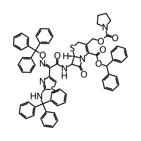 O=C(OC(c1ccccc1)c1ccccc1)C1=C(COC(=O)N2CCCC2)CS[C@H]2C(NC(=O)/C(=N\OC(c3ccccc3)(c3ccccc3)c3ccccc3)c3csc(NC(c4ccccc4)(c4ccccc4)c4ccccc4)n3)C(=O)N12